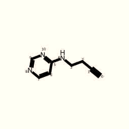 C#CCCNc1ccncn1